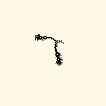 CC(CCCCCC#Cc1ccc(-c2cc(F)c(S(F)(F)(F)(F)F)c(F)c2)c(F)c1)CCCCCC#Cc1ccc(-c2cc(F)c(S(F)(F)(F)(F)F)c(F)c2)c(F)c1